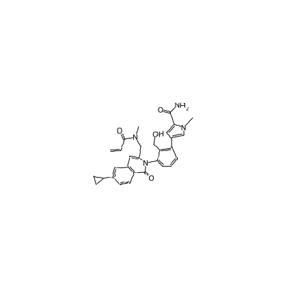 C=CC(=O)N(C)Cc1cc2cc(C3CC3)ccc2c(=O)n1-c1cccc(-c2cc(C(N)=O)n(C)c2)c1CO